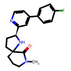 CN1CCC[C@]2(CC[C@@H](c3cc(-c4ccc(F)cc4)ccn3)N2)C1=O